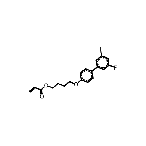 C=CC(=O)OCCCCOc1ccc(-c2cc(F)cc(I)c2)cc1